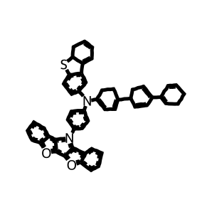 C1=CCC2Sc3ccc(N(C4=CC=C(C5C=CC(C6=CCCC=C6)=CC5)CC4)c4ccc(-n5c6c7ccccc7oc6c6oc7ccccc7c65)cc4)cc3C2=C1